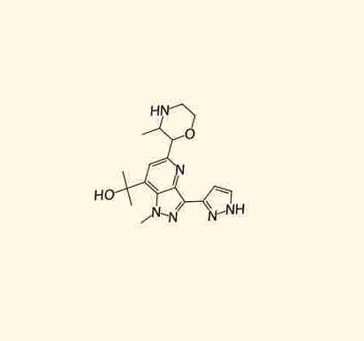 CC1NCCOC1c1cc(C(C)(C)O)c2c(n1)c(-c1cc[nH]n1)nn2C